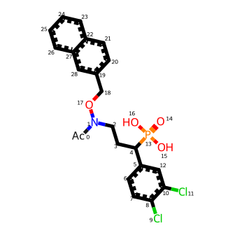 CC(=O)N(CCC(c1ccc(Cl)c(Cl)c1)P(=O)(O)O)OCc1ccc2ccccc2c1